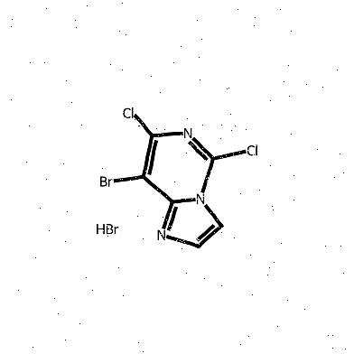 Br.Clc1nc(Cl)n2ccnc2c1Br